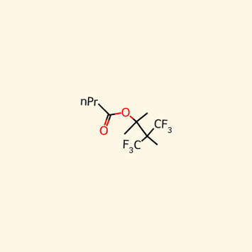 CCCC(=O)OC(C)(C)C(C)(C(F)(F)F)C(F)(F)F